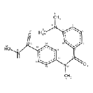 CN(C)c1cccc(C(=O)N(C)c2ccc(C(=O)NO)cc2)c1